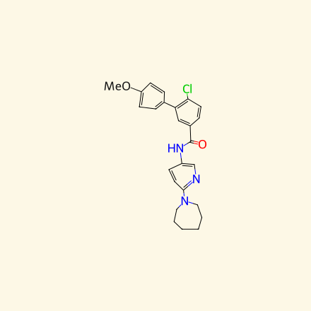 COc1ccc(-c2cc(C(=O)Nc3ccc(N4CCCCCC4)nc3)ccc2Cl)cc1